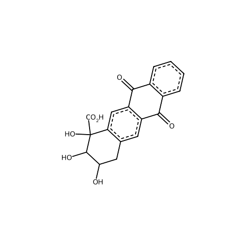 O=C1c2ccccc2C(=O)c2cc3c(cc21)CC(O)C(O)C3(O)C(=O)O